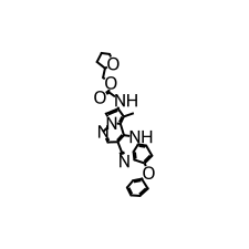 Cc1c(NC(=O)OCC2CCCO2)cn2ncc(C#N)c(Nc3ccc(Oc4ccccc4)cc3)c12